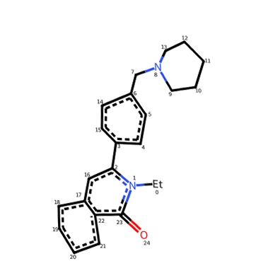 CCn1c(-c2ccc(CN3CCCCC3)cc2)cc2ccccc2c1=O